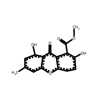 COC(=O)c1c(O)ccc2oc3cc(C)cc(O)c3c(=O)c12